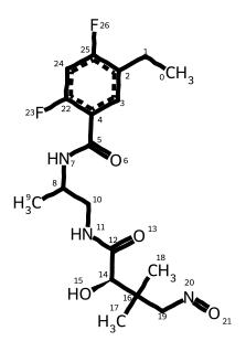 CCc1cc(C(=O)NC(C)CNC(=O)[C@H](O)C(C)(C)CN=O)c(F)cc1F